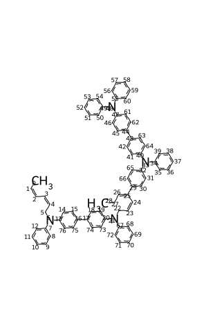 C/C=C\C=C/CN(c1ccccc1)c1ccc(-c2ccc(N(C/C=C\C(=C/CC)c3ccc(N(c4ccccc4)c4ccc(-c5ccc(N(c6ccccc6)c6ccccc6)cc5)cc4)cc3)c3ccccc3)cc2)cc1